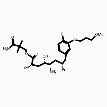 COCCCOc1cc(C[C@@H](C[C@H](N)[C@@H](O)C[C@H](C(=O)OCC(C)(C)C(N)=O)C(C)C)C(C)C)ccc1F